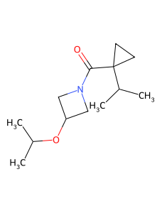 CC(C)OC1CN(C(=O)C2(C(C)C)CC2)C1